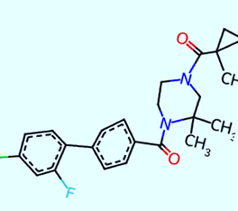 CC1(C(=O)N2CCN(C(=O)c3ccc(-c4ccc(Cl)cc4F)cc3)C(C)(C)C2)CC1